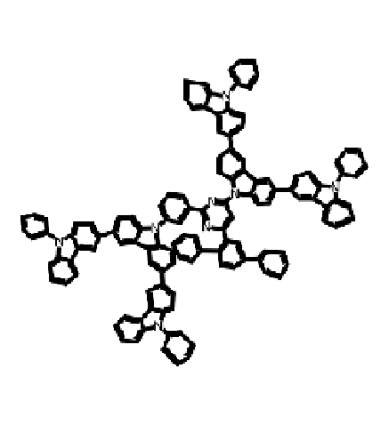 c1ccc(-c2ccc(-c3ccccc3)c(-c3cc(-n4c5ccc(-c6ccc7c(c6)c6ccccc6n7-c6ccccc6)cc5c5cc(-c6ccc7c(c6)c6ccccc6n7-c6ccccc6)ccc54)nc(-c4cccc(-n5c6ccc(-c7ccc8c(c7)c7ccccc7n8-c7ccccc7)cc6c6cc(-c7ccc8c(c7)c7ccccc7n8-c7ccccc7)ccc65)c4)n3)c2)cc1